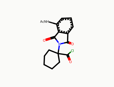 CC(=O)Nc1cccc2c1C(=O)N(C1(C(=O)Cl)CCCCC1)C2=O